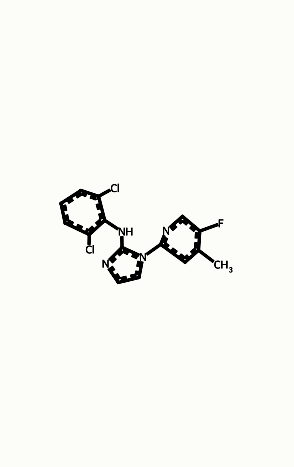 Cc1cc(-n2ccnc2Nc2c(Cl)cccc2Cl)ncc1F